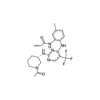 C=CC(=O)Nc1cc(C)ccc1Nc1nc(N[C@H]2CCCN(C(C)=O)C2)ncc1C(F)(F)F